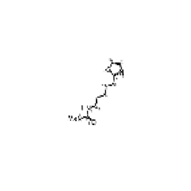 CNC(=O)NSCCSCc1nccs1